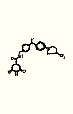 O=C1CC(C(=O)NCc2ccc(Nc3ccc(N4CCC(C(F)(F)F)CC4)cc3)cc2)CC(=O)N1